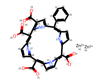 O=C([O-])c1c2nc(c(-c3ccccc3)c3cc(C(=O)[O-])c([nH]3)c(C(=O)[O-])c3nc(c(C(=O)[O-])c4ccc1[nH]4)C=C3)C=C2.[Zn+2].[Zn+2]